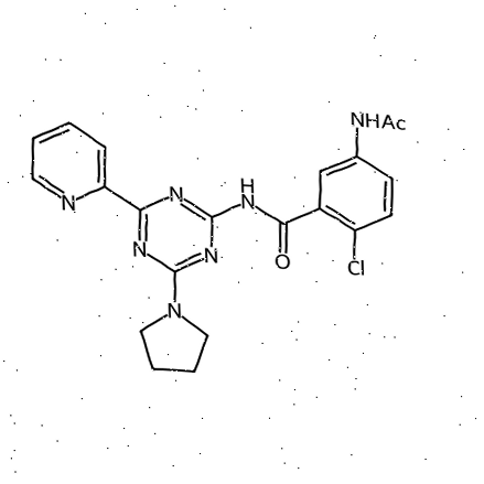 CC(=O)Nc1ccc(Cl)c(C(=O)Nc2nc(-c3ccccn3)nc(N3CCCC3)n2)c1